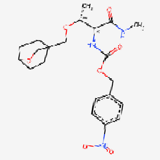 CNC(=O)[C@@H](NC(=O)OCc1ccc([N+](=O)[O-])cc1)[C@@H](C)OCC12CCC(CC1)OC2